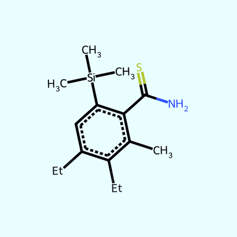 CCc1cc([Si](C)(C)C)c(C(N)=S)c(C)c1CC